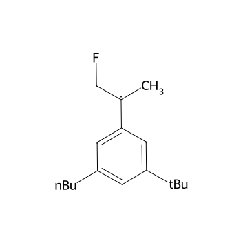 CCCCc1cc([C](C)CF)cc(C(C)(C)C)c1